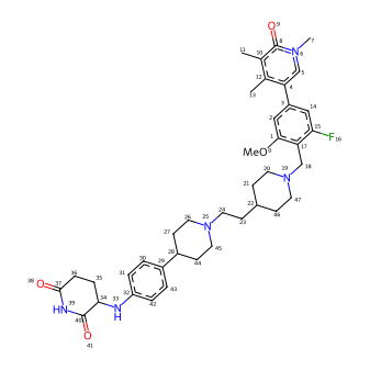 COc1cc(-c2cn(C)c(=O)c(C)c2C)cc(F)c1CN1CCC(CCN2CCC(c3ccc(NC4CCC(=O)NC4=O)cc3)CC2)CC1